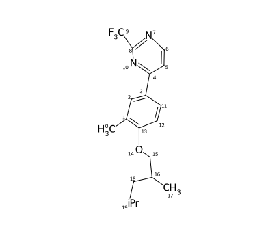 Cc1cc(-c2ccnc(C(F)(F)F)n2)ccc1OCC(C)CC(C)C